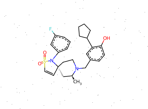 C[C@H]1C[C@@]2(C=CS(=O)(=O)N2c2cccc(F)c2)CCN1Cc1ccc(O)c(C2CCCC2)c1